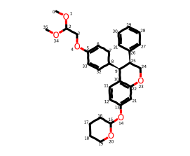 COC(COC1=CCC([C@@H]2c3ccc(OC4CCCCO4)cc3OC[C@@H]2c2ccccc2)C=C1)OC